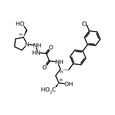 O=C(NNN1CCC[C@H]1CO)C(=O)N[C@H](Cc1ccc(-c2cccc(Cl)c2)cc1)C[C@@H](O)C(=O)O